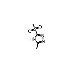 Cc1nnc(S(C)(=O)=O)[nH]1